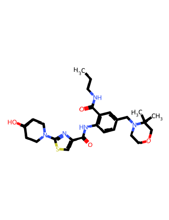 CCCNC(=O)c1cc(CN2CCOCC2(C)C)ccc1NC(=O)c1csc(N2CCC(O)CC2)n1